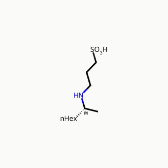 CCCCCC[C@@H](C)NCCCS(=O)(=O)O